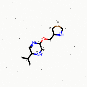 CC(C)C1C=NC(OCC2CSCN2)CN1